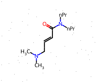 CCCN(CCC)C(=O)/C=C/CN(C)C